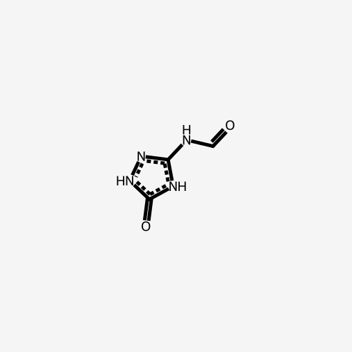 O=CNc1n[nH]c(=O)[nH]1